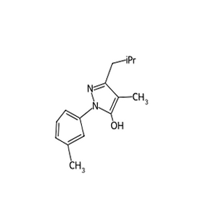 Cc1cccc(-n2nc(CC(C)C)c(C)c2O)c1